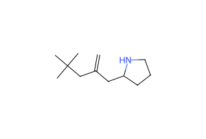 C=C(CC1CCCN1)CC(C)(C)C